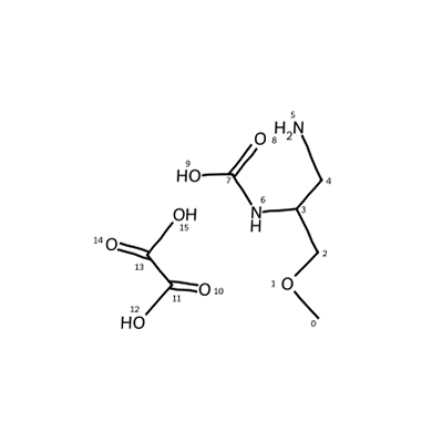 COCC(CN)NC(=O)O.O=C(O)C(=O)O